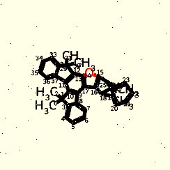 CC1(C)c2ccccc2-c2c1c1c(c3oc4c(c23)C2c3ccccc3C4C2(C)C)C(C)(C)c2ccccc2-1